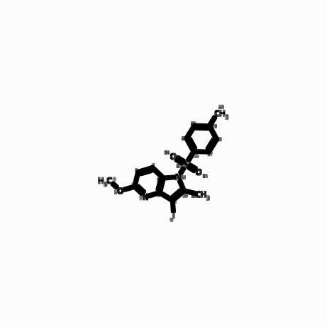 COc1ccc2c(n1)c(I)c(C)n2S(=O)(=O)c1ccc(C)cc1